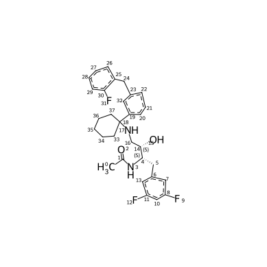 CC(=O)N[C@@H](Cc1cc(F)cc(F)c1)[C@@H](O)CNC1(c2cccc(Cc3ccccc3F)c2)CCCCC1